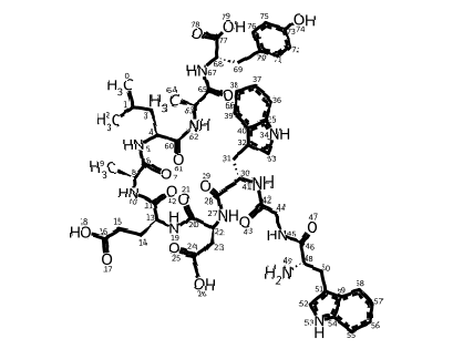 CC(C)C[C@H](NC(=O)[C@H](C)NC(=O)[C@H](CCC(=O)O)NC(=O)[C@H](CC(=O)O)NC(=O)[C@H](Cc1c[nH]c2ccccc12)NC(=O)CNC(=O)[C@@H](N)Cc1c[nH]c2ccccc12)C(=O)N[C@@H](C)C(=O)N[C@@H](Cc1ccc(O)cc1)C(=O)O